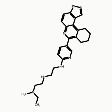 CCN(C)CCNCCNc1ccc(-c2nc3ccc4[nH]ncc4c3c3c2CCCC3)cn1